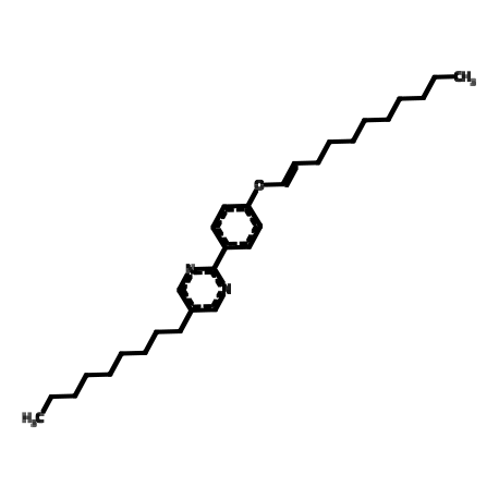 CCCCCCCCCC=COc1ccc(-c2ncc(CCCCCCCCC)cn2)cc1